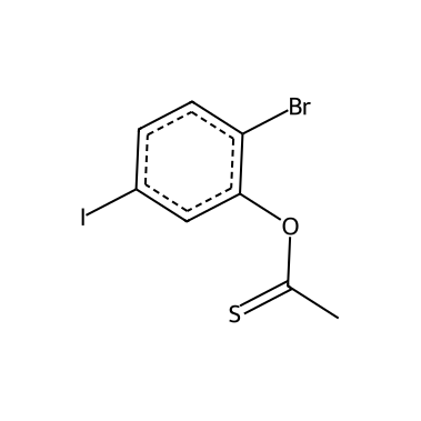 CC(=S)Oc1cc(I)ccc1Br